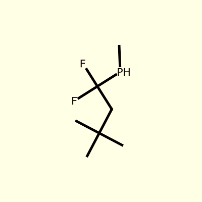 CPC(F)(F)CC(C)(C)C